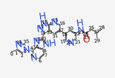 Cc1cn(-c2nccc3[nH]c(-c4n[nH]c5ncc(-c6cncc(NC(=O)CC(C)C)c6)cc45)nc23)cn1